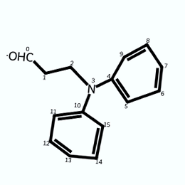 O=[C]CCN(c1ccccc1)c1ccccc1